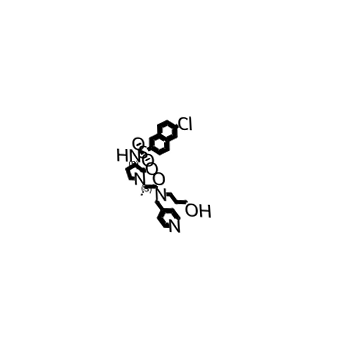 C[C@@H](C(=O)N(CCCO)Cc1ccncc1)N1CC[C@H](NS(=O)(=O)c2ccc3cc(Cl)ccc3c2)C1=O